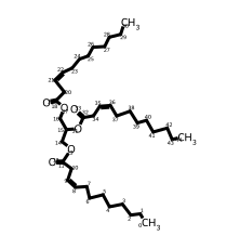 CCCCCCCC/C=C\CC(=O)OCC(COC(=O)C/C=C\CCCCCCCC)OC(=O)C/C=C\CCCCCCCC